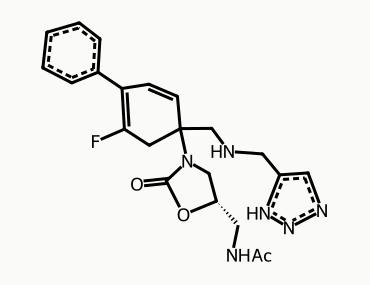 CC(=O)NC[C@H]1CN(C2(CNCc3cnn[nH]3)C=CC(c3ccccc3)=C(F)C2)C(=O)O1